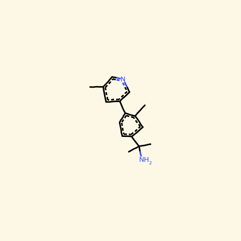 Cc1cncc(-c2ccc(C(C)(C)N)cc2C)c1